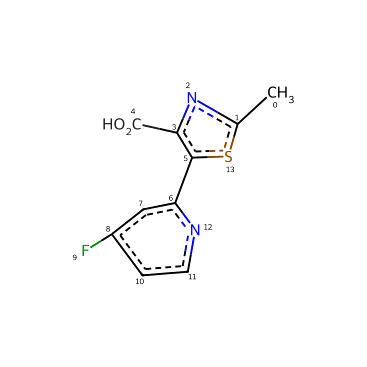 Cc1nc(C(=O)O)c(-c2cc(F)ccn2)s1